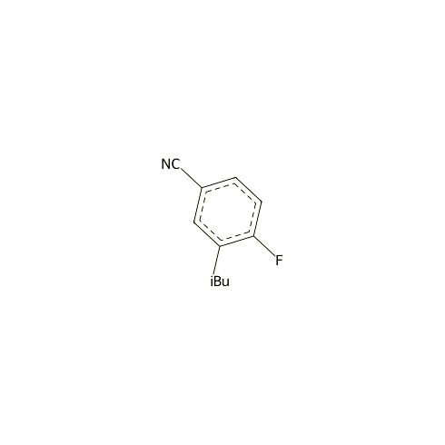 CCC(C)c1cc(C#N)ccc1F